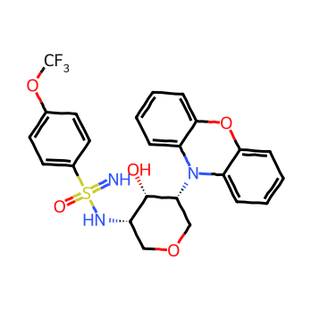 N=S(=O)(N[C@H]1COC[C@@H](N2c3ccccc3Oc3ccccc32)[C@H]1O)c1ccc(OC(F)(F)F)cc1